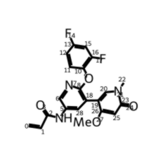 C=CC(=O)Nc1cnc(Oc2ccc(F)cc2F)c(-c2cn(C)c(=O)cc2OC)c1